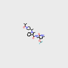 Cc1cc(OC(F)F)c(CNC(=O)c2c(C)n(C(C)C3CCN(C(=O)C(C)C)CC3)c3ccccc23)c(=O)[nH]1